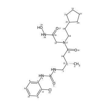 C[C@H](CNC(=O)Nc1ccccc1Cl)CC(=O)N(CCC1CCCC1)CC(=O)NO